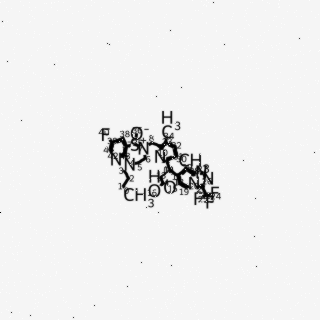 CCCCN1CCN(Cc2nc([C@H](CC(=O)O)c3ccn4c(C(F)(F)F)nnc4c3C)ccc2C)[S+]([O-])c2cc(F)cnc21